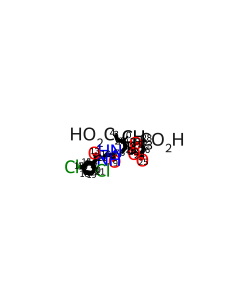 C[C@H](CCC(=O)O)C(CNC(=O)CNC(=O)c1cc(Cl)ccc1Cl)B1OC(=O)CC(C(=O)O)O1